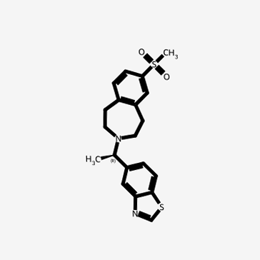 C[C@H](c1ccc2scnc2c1)N1CCc2ccc(S(C)(=O)=O)cc2CC1